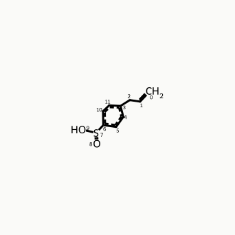 C=CCc1ccc(S(=O)O)cc1